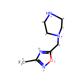 FC(F)(F)c1noc(CN2CCNCC2)n1